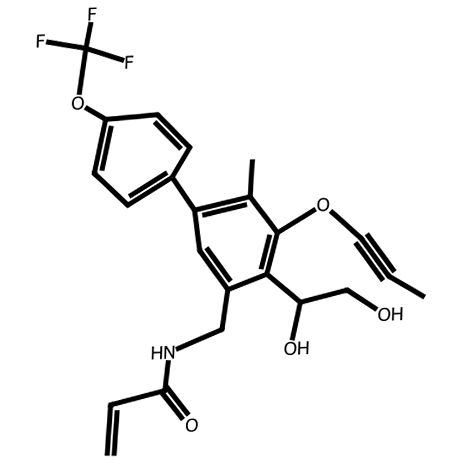 C=CC(=O)NCc1cc(-c2ccc(OC(F)(F)F)cc2)c(C)c(OC#CC)c1C(O)CO